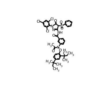 CCC(C)(C)c1ccc(ON(C(C)=O)c2cccc(C(=O)NC3=NN(c4c(Cl)cc(Cl)cc4Cl)C(=O)C3S(=O)(=O)c3ccccc3)c2)c(C(C)(C)CC)c1